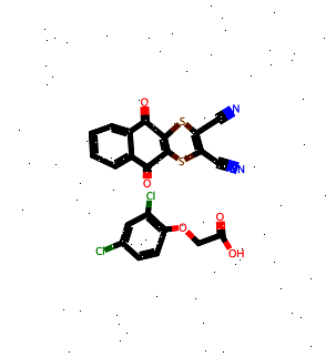 N#Cc1sc2c(=O)c3ccccc3c(=O)c=2sc1C#N.O=C(O)COc1ccc(Cl)cc1Cl